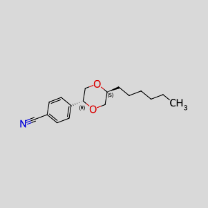 CCCCCC[C@H]1CO[C@H](c2ccc(C#N)cc2)CO1